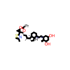 C=C1/C(=C\C=C2/CCC[C@]3(C)[C@@H]([C@H](C)CC[C@@H](OC(=O)C(C)C)C4(c5nc(C)cs5)CC4)CC[C@@H]23)C[C@@H](O)C[C@@H]1O